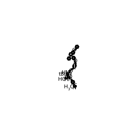 Cc1ncsc1-c1ccc(CNC(=O)[C@@H]2C[C@@H](O)CN2C(=O)[C@@H](NC(=O)COCCN2CCN(CCOc3ccc([C@@H]4c5ccc(OCc6ccccc6)cc5CC[C@@H]4c4ccccc4)cc3)CC2)C(C)(C)C)cc1